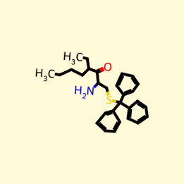 CCCCC(CC)C(=O)C(N)CSC(c1ccccc1)(c1ccccc1)c1ccccc1